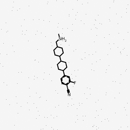 C[SiH2]CC1CCC(C2CCC(c3ccc(C#N)c(F)c3)CC2)CC1